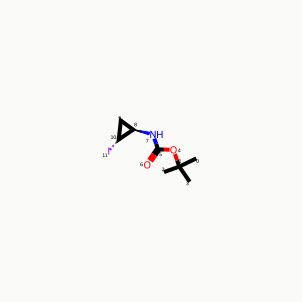 CC(C)(C)OC(=O)N[C@@H]1C[C@H]1I